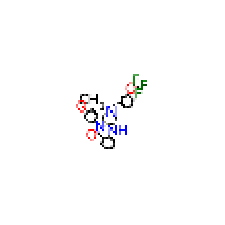 COc1ccc(N2C(=O)c3ccccc3NC23CCN(Cc2cccc(OC(F)(F)F)c2)CC3)cc1